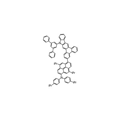 CC(C)c1ccc(N(c2ccc(C(C)C)cc2)c2ccc3c(C(C)C)cc4c(-c5ccc6c(c5)c5ccccc5c5cc7c8ccccc8n(-c8cc(-c9ccccc9)cc(-c9ccccc9)c8)c7cc65)ccc5c(C(C)C)cc2c3c45)cc1